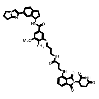 COc1cc(C(=O)N[C@@H]2CCc3ccc(-c4cn5c(n4)CCC5)cc32)cc(OCCCNC(=O)CCNc2cccc3c2C(=O)N(C2CCC(=O)NC2=O)C3=O)c1C